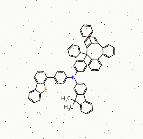 CC1(C)c2ccccc2-c2ccc(N(c3ccc(-c4cccc5c4sc4ccccc45)cc3)c3ccc(C4(c5ccccc5)c5ccccc5-c5ccccc5-c5cccc4c5-c4ccccc4)cc3)cc21